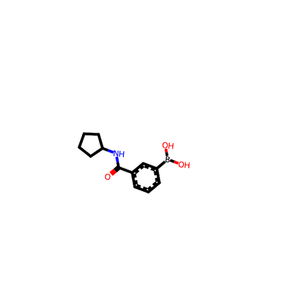 O=C(NC1CCCC1)c1cccc(B(O)O)c1